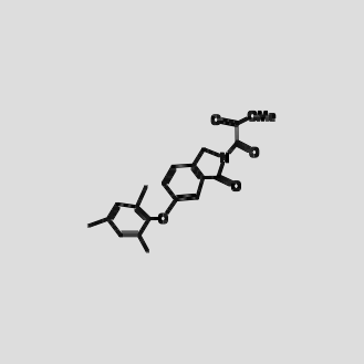 COC(=O)C(=O)N1Cc2ccc(Oc3c(C)cc(C)cc3C)cc2C1=O